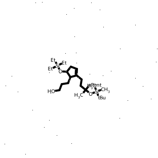 CCCCCC(C)(CCC1=CCC(O[Si](CC)(CC)CC)C1CCCO)O[Si](C)(C)C(C)(C)C